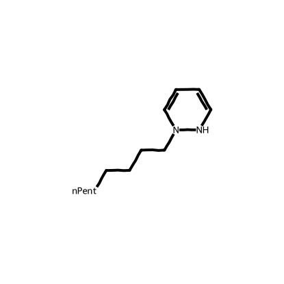 CCCCCCCCCN1C=CC=CN1